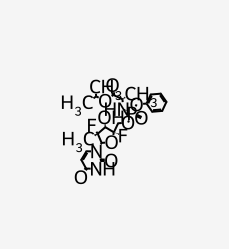 CC(C)OC(=O)[C@H](C)N[P@](=O)(OC[C@@]1(F)O[C@@H](n2ccc(=O)[nH]c2=O)[C@](C)(F)[C@@H]1O)Oc1ccccc1